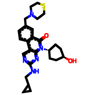 O=c1c2cc(CN3CCSCC3)ccc2c2cnc(NCC3CC3)nc2n1[C@H]1CC[C@H](O)CC1